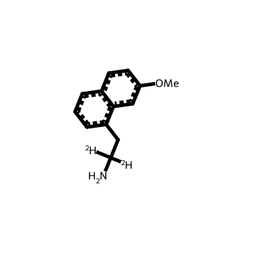 [2H]C([2H])(N)Cc1cccc2ccc(OC)cc12